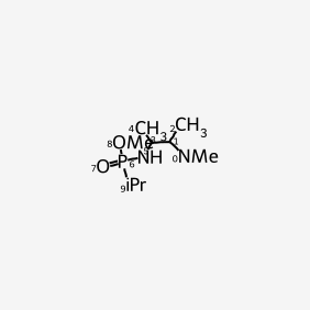 CNC(C)C(C)NP(=O)(OC)C(C)C